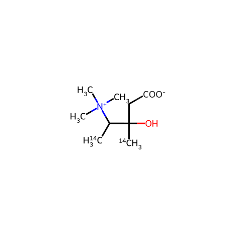 C[N+](C)(C)C([14CH3])C([14CH3])(O)CC(=O)[O-]